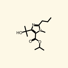 CCCc1nc(C(C)(C)O)c(C(=O)OC(C)C)n1C